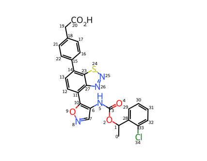 CC(OC(=O)Nc1cnoc1-c1ccc(-c2ccc(CC(=O)O)cc2)c2snnc12)c1ccccc1Cl